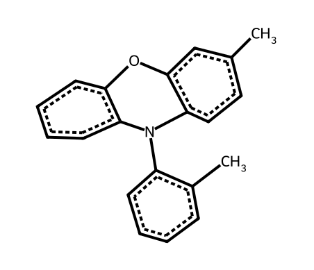 Cc1ccc2c(c1)Oc1ccccc1N2c1ccccc1C